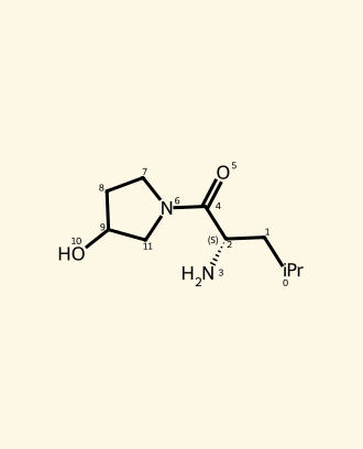 CC(C)C[C@H](N)C(=O)N1CCC(O)C1